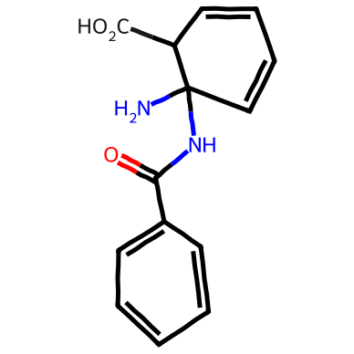 NC1(NC(=O)c2ccccc2)C=CC=CC1C(=O)O